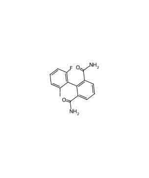 NC(=O)c1cccc(C(N)=O)c1-c1c(F)cccc1I